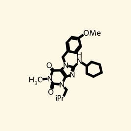 COc1ccc(Cn2c(NC3CCCCC3)nc3c2c(=O)n(C)c(=O)n3CC(C)C)cc1